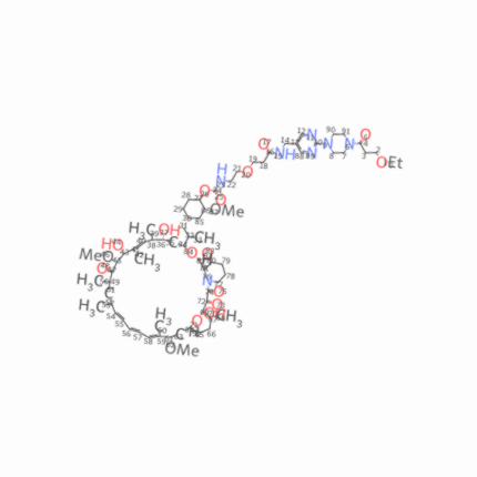 CCOCCC(=O)N1CCN(c2ncc(CNC(=O)CCOCCNC(=O)OC3CC[C@@H](C[C@@H](C)[C@@H]4C[C@@H](O)C(C)/C=C(\C)[C@@H](O)[C@@H](OC)C(=O)[C@H](C)C[C@H](C)/C=C/C=C/C=C(\C)[C@@H](OC)C[C@@H]5CC[C@@H](C)[C@@](O)(O5)C(=O)C(=O)N5CCCC[C@H]5C(=O)O4)C[C@H]3OC)cn2)CC1